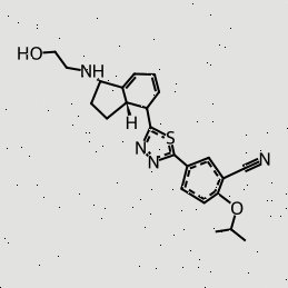 CC(C)Oc1ccc(-c2nnc(C3C=CC=C4[C@@H](NCCO)CC[C@H]43)s2)cc1C#N